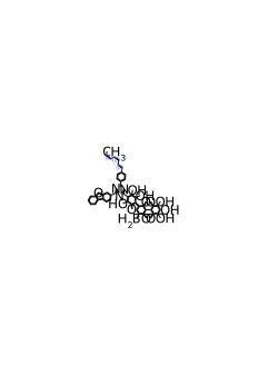 Bc1c2ooc3c(O)c(O)c(O)c4ooc(c2-c34)c2c1oc1c(O)c(-c3nc(-c4ccc(/C=C/C=C\C=C/C)cc4)nc(-c4ccc5c(c4)oc4ccccc45)n3)c(O)c(O)c12